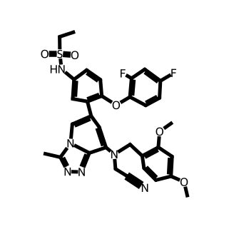 CCS(=O)(=O)Nc1ccc(Oc2ccc(F)cc2F)c(-c2cc(N(CC#N)Cc3ccc(OC)cc3OC)c3nnc(C)n3c2)c1